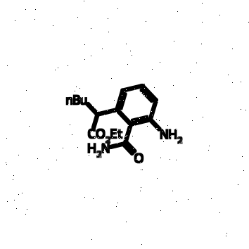 CCCCC(C(=O)OCC)c1cccc(N)c1C(N)=O